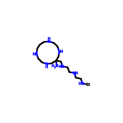 CCNCCNCCNCC1(N)CNCCNCCCNCCNC1